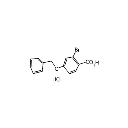 Cl.O=C(O)c1ccc(OCc2ccccc2)cc1Br